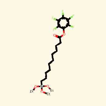 CCO[Si](CCCCCCCCCCC(=O)Oc1c(F)c(F)c(F)c(F)c1F)(OCC)OCC